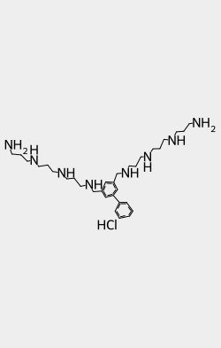 Cl.NCCCNCCCNCCCNCc1cc(CNCCCNCCCNCCCN)cc(-c2ccccc2)c1